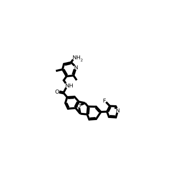 Cc1cc(N)nc(C)c1CNC(=O)c1ccc2c(c1)C1OC2c2ccc(-c3ccncc3F)cc21